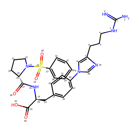 N=C(N)NCCCc1cn(-c2ccc(C[C@H](NC(=O)[C@@H]3CCCN3S(=O)(=O)c3ccccc3)C(=O)O)cc2)cn1